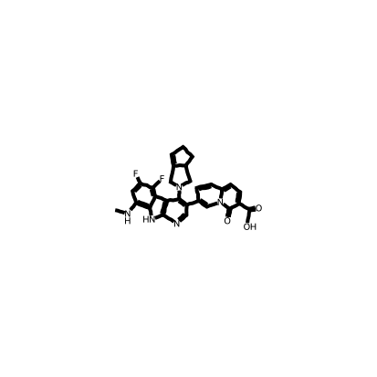 CNc1cc(F)c(F)c2c1[nH]c1ncc(-c3ccc4ccc(C(=O)O)c(=O)n4c3)c(N3CC4=CCCC4C3)c12